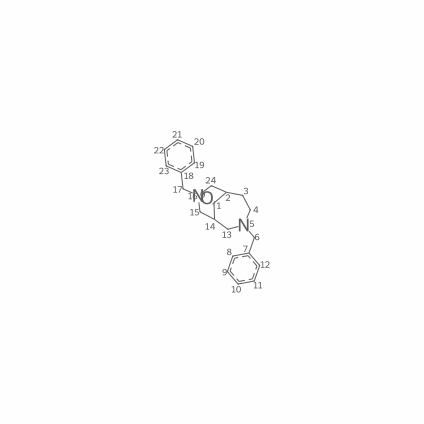 O=C1C2CCN(Cc3ccccc3)CC1CN(Cc1ccccc1)C2